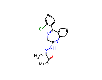 COC(=O)/C(C)=N\NC1=Nc2ccccc2C(c2ccccc2Cl)=NC1